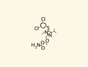 CCn1c(COC(C)OC(N)=O)nc(C(C)C)c1Sc1cc(Cl)cc(Cl)c1